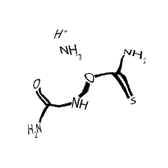 N.NC(=O)NOC(N)=S.[H+]